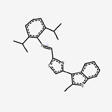 Cc1sc2ccccc2c1-c1csc(/C=N/c2c(C(C)C)cccc2C(C)C)n1